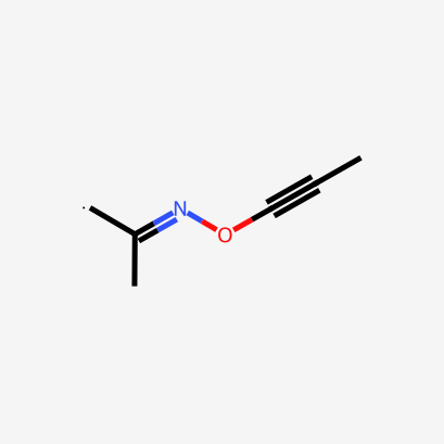 [CH2]C(C)=NOC#CC